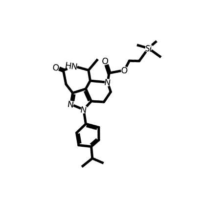 CC(C)c1ccc(-n2nc3c4c2CCN(C(=O)OCC[Si](C)(C)C)C4C(C)NC(=O)C3)cc1